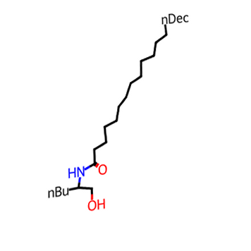 CCCCCCCCCCCCCCCCCCCCCCC(=O)NC(CO)CCCC